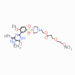 CCCc1nn(C)c2c(=O)[nH]c(-c3cc(S(=O)(=O)N4CCN(CCOC(=O)CCOCCCO[N+](=O)[O-])CC4)ccc3OCC)nc12